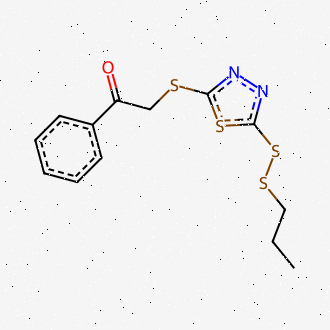 CCCSSc1nnc(SCC(=O)c2ccccc2)s1